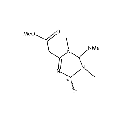 CC[C@@H]1N=C(CC(=O)OC)N(C)C(NC)N1C